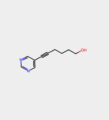 OCCCCC#Cc1cncnc1